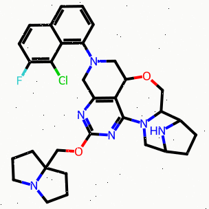 Fc1ccc2cccc(N3Cc4nc(OCC56CCCN5CCC6)nc5c4C(C3)OCC3C4CCC(CN53)N4)c2c1Cl